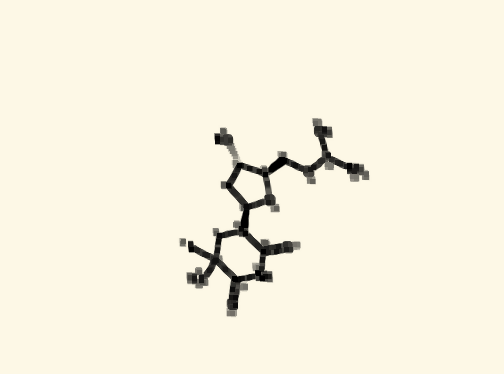 CC1(I)CN([C@H]2C[C@H](O)[C@@H](COP(N)O)O2)C(=O)NC1=O